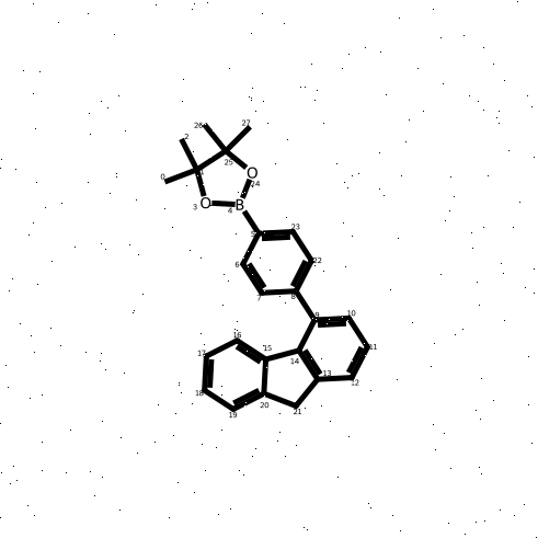 CC1(C)OB(c2ccc(-c3cccc4c3-c3ccccc3C4)cc2)OC1(C)C